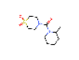 CC1CCCCN1C(=O)N1CCS(=O)(=O)CC1